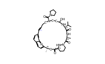 CC(C)[C@@H]1NC(O)CCN(C(=O)N2CCCC2)CC/C=C/c2ccc3ccc(nc3c2)[C@@H](C)OC(=O)[C@@H]2CCCN(N2)C(=O)[C@H](C)NC1=O